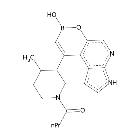 CCCC(=O)N1CCC(C)C(C2=CB(O)Oc3cnc4[nH]ccc4c32)C1